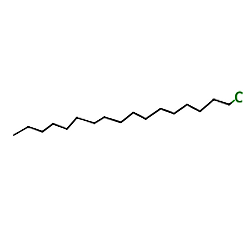 CCCCCCCCCCCCCCCCCCl